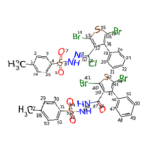 Cc1ccc(S(=O)(=O)N/N=C(\Cl)c2c(Br)sc(Br)c2-c2ccccc2)cc1.Cc1ccc(S(=O)(=O)NNC(=O)c2c(Br)sc(Br)c2-c2ccccc2)cc1